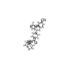 Cc1ncc(C(Cc2ccc(C#N)cc2)N2CCN(C(=O)NC34CC5CC(CC(C5)C3)C4)CC2)[nH]1